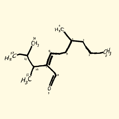 CCCC(C)CC=C(C=O)C(C)C(C)C